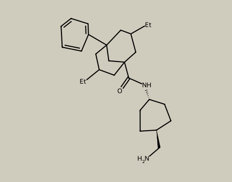 CCC1CC2(C(=O)N[C@H]3CC[C@H](CN)CC3)CC(CC)CC(c3ccccc3)(C1)C2